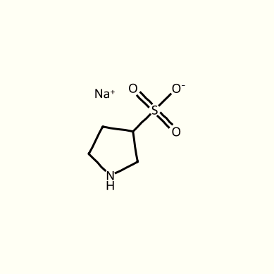 O=S(=O)([O-])C1CCNC1.[Na+]